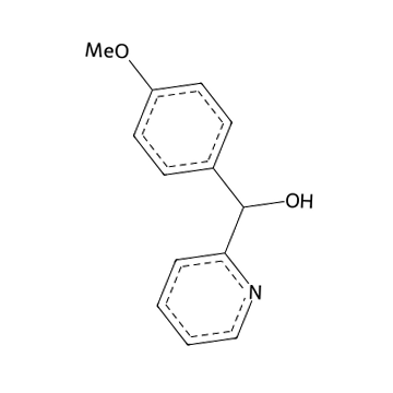 COc1ccc(C(O)c2ccccn2)cc1